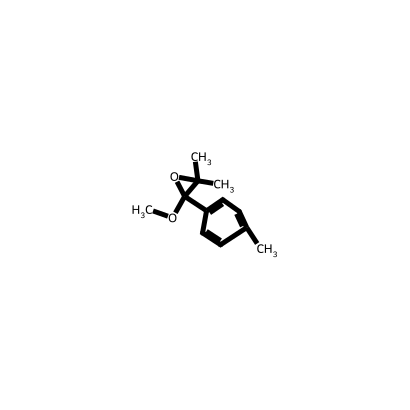 COC1(c2ccc(C)cc2)OC1(C)C